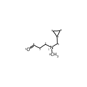 CN(CCC=O)CC1CC1